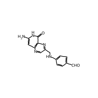 Nc1cc2ncc(CNc3ccc(C=O)cc3)nc2c(=O)[nH]1